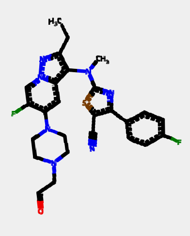 CCc1nn2cc(F)c(N3CCN(CC=O)CC3)cc2c1N(C)c1nc(-c2ccc(F)cc2)c(C#N)s1